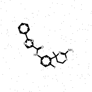 CC1(c2cc(NC(=O)c3csc(-c4ccccc4)n3)ccc2F)CCSC(N)=N1